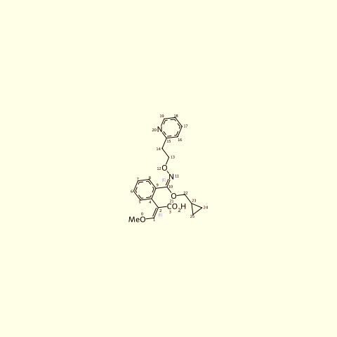 CO/C=C(/C(=O)O)c1ccccc1/C(=N\OCCc1ccccn1)OCC1CC1